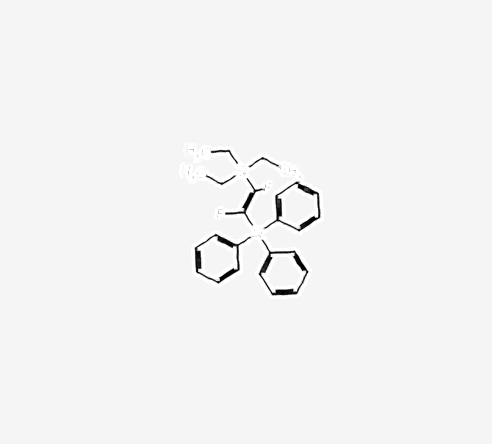 CC[Si](CC)(CC)C(F)=C(F)[Si](c1ccccc1)(c1ccccc1)c1ccccc1